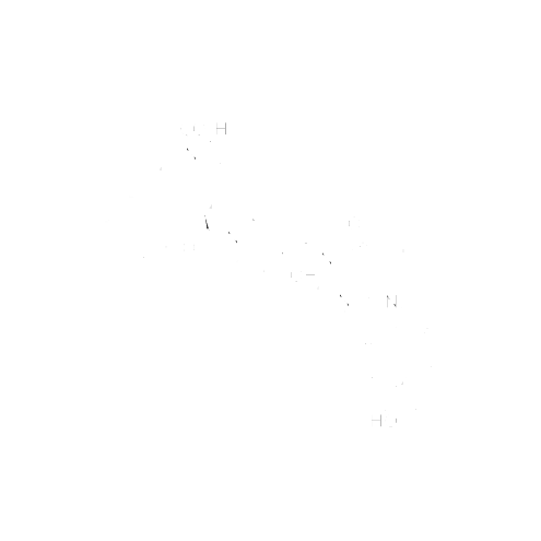 O=C(O)N1CC[C@@H](C(=O)N2CCC(O)(Cn3cnc4c(ccn4-c4ccc(CO)cc4)c3=O)CC2)[C@H](c2ccccc2)C1